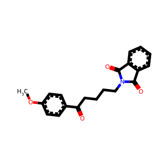 COc1ccc(C(=O)CCCCN2C(=O)c3ccccc3C2=O)cc1